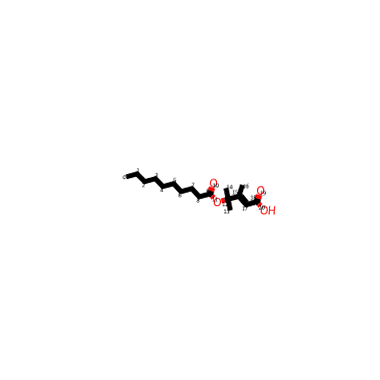 CCCCCCCCCC(=O)OC(C)(C)C(C)=CC(=O)O